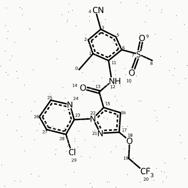 Cc1cc(C#N)cc(S(C)(=O)=O)c1NC(=O)c1cc(OCC(F)(F)F)nn1-c1ncccc1Cl